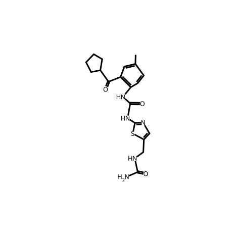 Cc1ccc(NC(=O)Nc2ncc(CNC(N)=O)s2)c(C(=O)C2CCCC2)c1